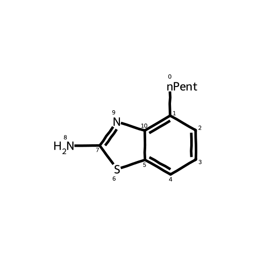 CCCCCc1cccc2sc(N)nc12